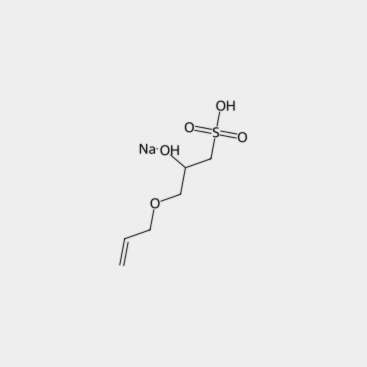 C=CCOCC(O)CS(=O)(=O)O.[Na]